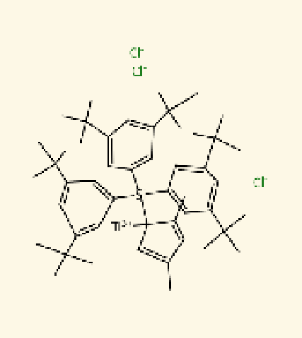 CC1=C[C]([Ti+3])([Si](c2cc(C(C)(C)C)cc(C(C)(C)C)c2)(c2cc(C(C)(C)C)cc(C(C)(C)C)c2)c2cc(C(C)(C)C)cc(C(C)(C)C)c2)C(C)=C1.[Cl-].[Cl-].[Cl-]